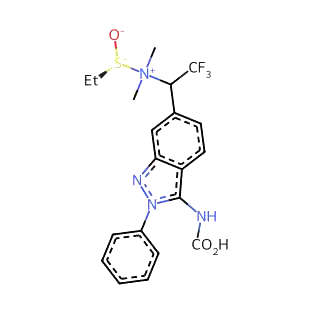 CC[S@@+]([O-])[N+](C)(C)C(c1ccc2c(NC(=O)O)n(-c3ccccc3)nc2c1)C(F)(F)F